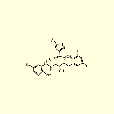 CCCc1ccc(CC)cc1[C@@H](C)NCC(O)C(Cc1cc(F)cc(F)c1)N(C)C(=O)c1cc(C)on1